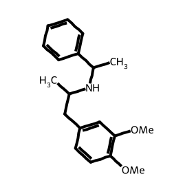 COc1ccc(CC(C)NC(C)c2ccccc2)cc1OC